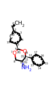 C=Cc1ccc([C@@H]2OC[C@H](N)[C@H](c3ccccc3)O2)cc1